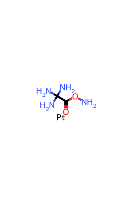 NOC(=O)C(N)(N)N.[Pt]